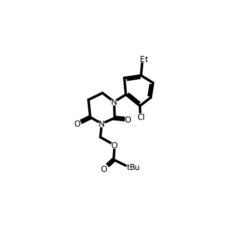 CCc1ccc(Cl)c(N2CCC(=O)N(COC(=O)C(C)(C)C)C2=O)c1